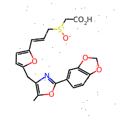 Cc1oc(-c2ccc3c(c2)OCO3)nc1Cc1ccc(C=CC[S+]([O-])CC(=O)O)o1